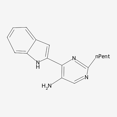 CCCCCc1ncc(N)c(-c2cc3ccccc3[nH]2)n1